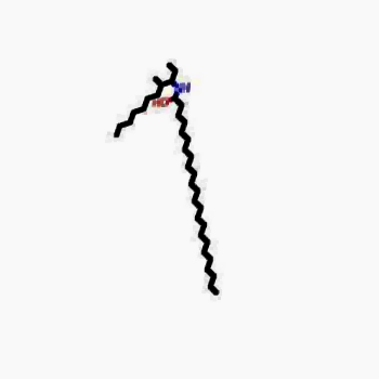 CCCCCCCCCCCCCCCCCCCCCCCC(O)NC(CC)C(C)CCCCCCC